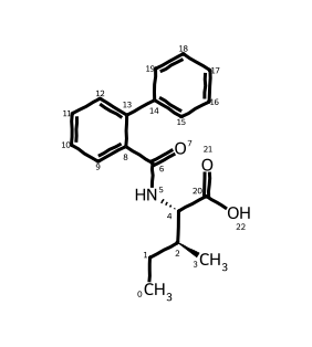 CC[C@H](C)[C@H](NC(=O)c1ccccc1-c1ccccc1)C(=O)O